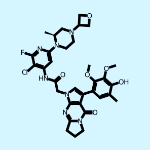 COc1c(-c2cn(CC(=O)Nc3cc(N4CCN(C5COC5)C[C@@H]4C)nc(F)c3Cl)c3nc4n(c(=O)c23)CCC4)cc(C)c(O)c1OC